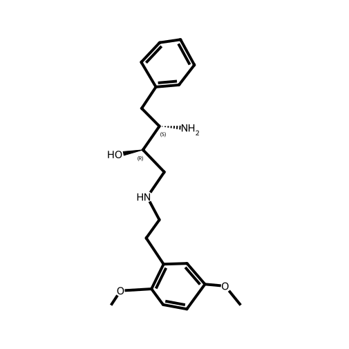 COc1ccc(OC)c(CCNC[C@@H](O)[C@@H](N)Cc2ccccc2)c1